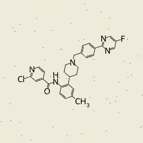 Cc1ccc(NC(=O)c2ccnc(Cl)c2)c(C2CCN(Cc3ccc(-c4ncc(F)cn4)cc3)CC2)c1